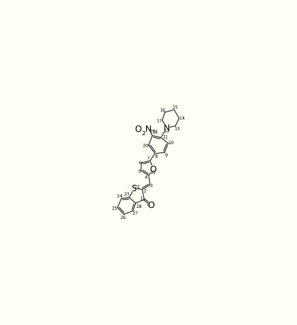 O=C1C(=Cc2ccc(-c3ccc(N4CCCCC4)c([N+](=O)[O-])c3)o2)Sc2ccccc21